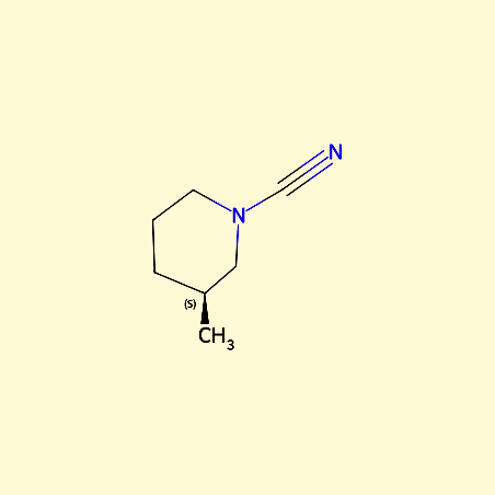 C[C@H]1CCCN(C#N)C1